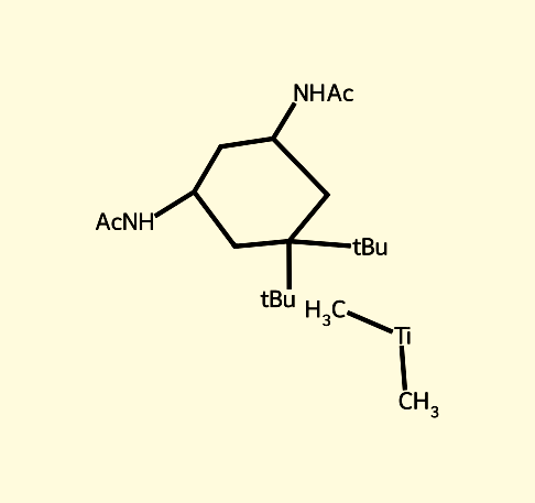 CC(=O)NC1CC(NC(C)=O)CC(C(C)(C)C)(C(C)(C)C)C1.[CH3][Ti][CH3]